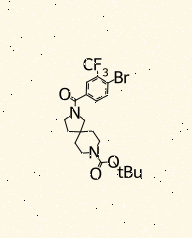 CC(C)(C)OC(=O)N1CCC2(CC1)CCN(C(=O)c1ccc(Br)c(C(F)(F)F)c1)C2